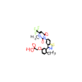 Cc1ccc(OCC(=O)O)cc1-c1nsc2ccc(-n3c(=O)cc(C(F)(F)F)n(C)c3=O)cc12